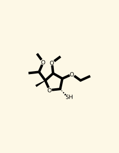 CCOC1C(OC)[C@@](C)(C(C)OC)O[C@H]1S